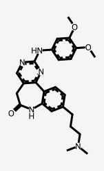 COc1ccc(Nc2ncc3c(n2)-c2ccc(CCCN(C)C)cc2NC(=O)C3)cc1OC